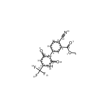 COC(=O)c1cc(-n2c(=O)cc(C(F)(F)F)[nH]c2=O)ccc1C#N